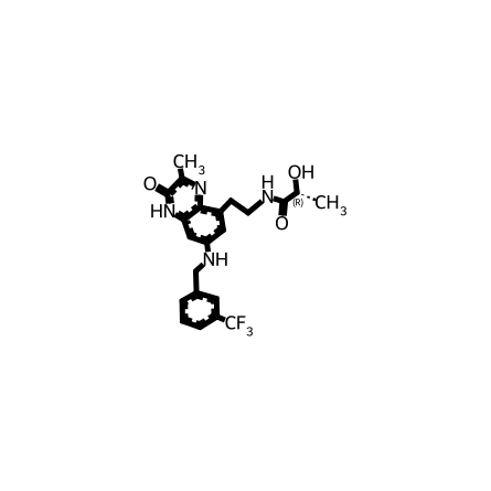 Cc1nc2c(CCNC(=O)[C@@H](C)O)cc(NCc3cccc(C(F)(F)F)c3)cc2[nH]c1=O